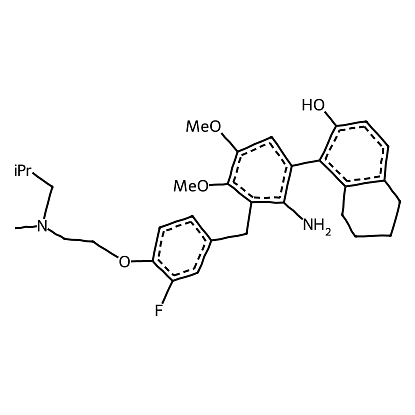 COc1cc(-c2c(O)ccc3c2CCCC3)c(N)c(Cc2ccc(OCCN(C)CC(C)C)c(F)c2)c1OC